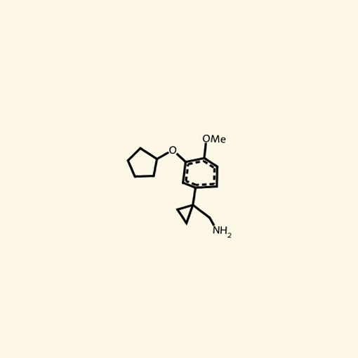 COc1ccc(C2(CN)CC2)cc1OC1CCCC1